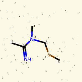 CSCN(C)C(C)=N